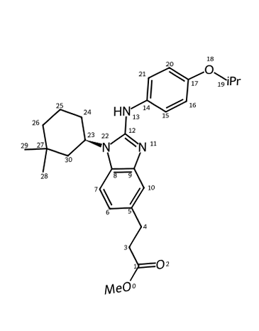 COC(=O)CCc1ccc2c(c1)nc(Nc1ccc(OC(C)C)cc1)n2[C@@H]1CCCC(C)(C)C1